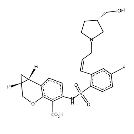 O=C(O)c1c(NS(=O)(=O)c2ccc(F)cc2/C=C\CN2CC[C@H](CO)C2)ccc2c1OC[C@@H]1C[C@H]21